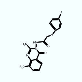 Nc1nc2c(C(F)(F)F)cccc2c(=O)n1NC(=O)COc1ccc(F)cc1